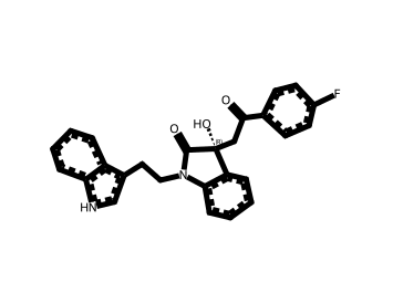 O=C(C[C@]1(O)C(=O)N(CCc2c[nH]c3ccccc23)c2ccccc21)c1ccc(F)cc1